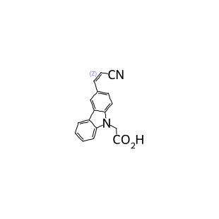 N#C/C=C\c1ccc2c(c1)c1ccccc1n2CC(=O)O